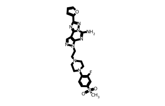 CS(=O)(=O)c1ccc(N2CCN(CCn3ncc4c3nc(N)n3nc(-c5ccco5)nc43)CC2)c(F)c1